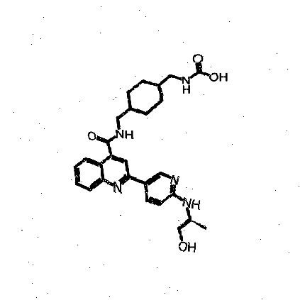 C[C@@H](CO)Nc1ccc(-c2cc(C(=O)NCC3CCC(CNC(=O)O)CC3)c3ccccc3n2)cn1